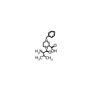 CC(C)C(N)C(=O)N1CCN(Cc2ccccc2)CC1C(=O)O